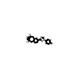 O=C1[C@@H]2CC[C@H]1Cc1ccc(-c3ncn(-c4ccc(F)cc4)n3)cc1C2